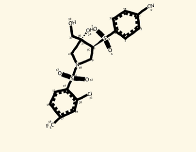 N#Cc1ccc(S(=O)(=O)[C@H]2CN(S(=O)(=O)c3ccc(C(F)(F)F)cc3Cl)C[C@@]2(O)CO)cc1